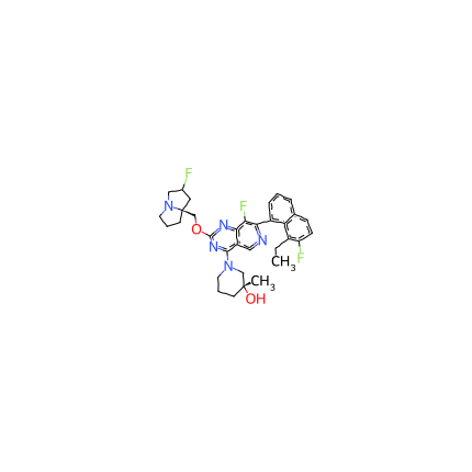 CCc1c(F)ccc2cccc(-c3ncc4c(N5CCC[C@@](C)(O)C5)nc(OC[C@@]56CCCN5CC(F)C6)nc4c3F)c12